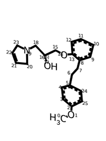 COc1ccc(CCc2ccccc2OC[C@@H](O)CN2CC=CC2)cc1